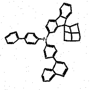 c1ccc(-c2ccc(N(c3ccc(-c4cccc5ccccc45)cc3)c3ccc4c(c3)C3(c5ccccc5-4)C4CC5CC6CC3C564)cc2)cc1